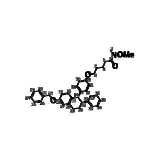 CON(C)C(=O)CCCCOc1ccc([C@@H]2c3ccc(OCc4ccccc4)cc3CC[C@@H]2c2ccccc2)cc1